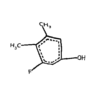 Cc1cc(O)cc(F)c1C